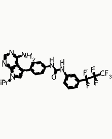 CC(C)n1cc(-c2ccc(NC(=O)Nc3cccc(C(F)(F)C(F)(F)C(F)(F)F)c3)cc2)c2c(N)ncnc21